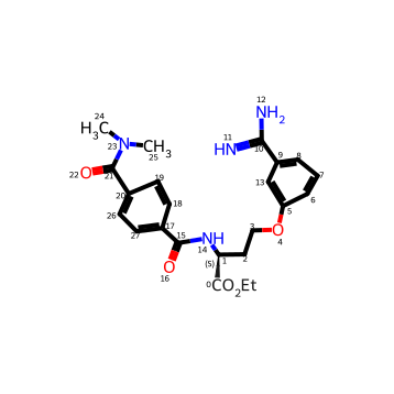 CCOC(=O)[C@H](CCOc1cccc(C(=N)N)c1)NC(=O)c1ccc(C(=O)N(C)C)cc1